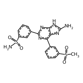 CS(=O)(=O)c1cccc(-c2nc(-c3cccc(S(N)(=O)=O)c3)nc3[nH]c(N)nc23)c1